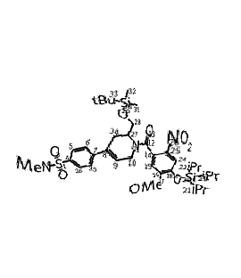 CNS(=O)(=O)c1ccc(C2=CCN(C(=O)c3cc(OC)c(O[Si](C(C)C)(C(C)C)C(C)C)cc3[N+](=O)[O-])C(CO[Si](C)(C)C(C)(C)C)C2)cc1